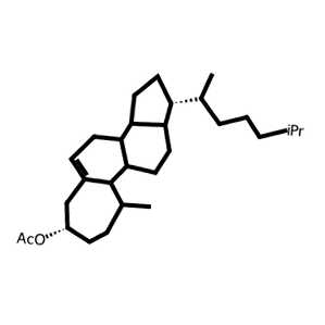 CC(=O)O[C@H]1CCC(C)C2C(=CCC3C2CCC2C3CC[C@@H]2C(C)CCCC(C)C)C1